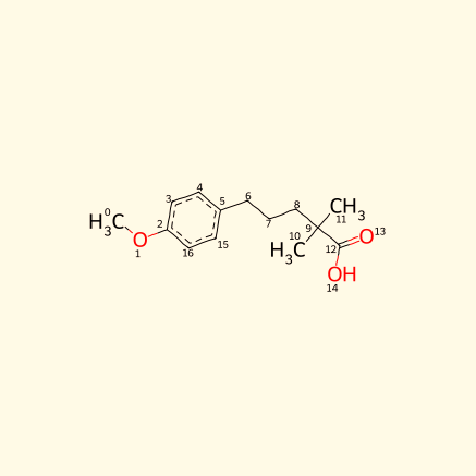 COc1ccc(CCCC(C)(C)C(=O)O)cc1